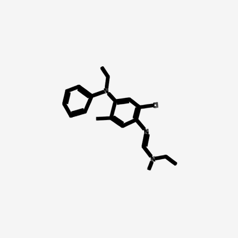 CCN(C)C=Nc1cc(C)c(N(CC)c2ccccc2)cc1Cl